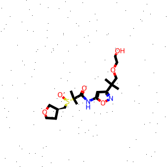 CC(C)(COCCO)c1cc(NC(=O)C(C)(C)[S+]([O-])C[C@H]2CCOC2)on1